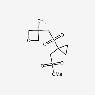 COS(=O)(=O)CC1(S(=O)(=O)CC2(C)COC2)CC1